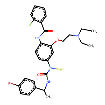 CCN(CC)CCOc1cc(N(S)C(=O)NC(C)c2ccc(Br)cc2)ccc1NC(=O)c1ccccc1F